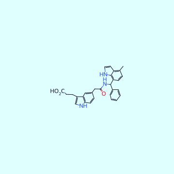 Cc1ccc(C(NC(=O)Cc2ccc3[nH]cc(CCC(=O)O)c3c2)c2ccccc2)c2[nH]ccc12